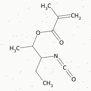 C=C(C)C(=O)OC(C)C(CC)N=C=O